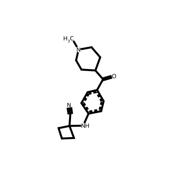 CN1CCC(C(=O)c2ccc(NC3(C#N)CCC3)cc2)CC1